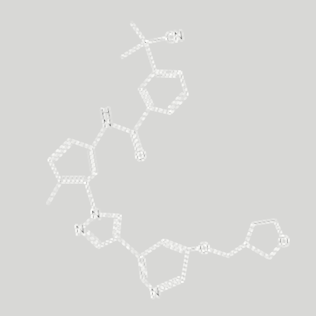 Cc1ccc(NC(=O)c2cccc(C(C)(C)C#N)c2)cc1-n1cc(-c2cncc(OCC3CCOC3)c2)cn1